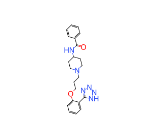 O=C(NC1CCN(CCCOc2ccccc2-c2nnn[nH]2)CC1)c1ccccc1